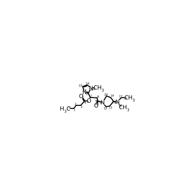 CCCCC(=O)OC(CC(=O)N1CCC(N(C)CC)CC1)c1nccn1C